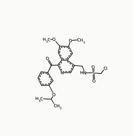 COc1cc2c(CNS(=O)(=O)CCl)cnc(C(=O)c3cccc(OC(C)C)c3)c2cc1OC